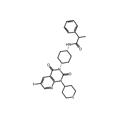 CC(C(=O)N[C@H]1CC[C@@H](n2c(=O)c3cc(F)cnc3n(C3CCSCC3)c2=O)CC1)c1ccccc1